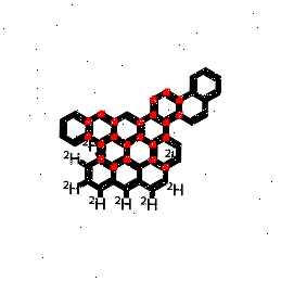 [2H]c1c([2H])c([2H])c2c(-c3c(-c4ccccc4-c4cccc5c4ccc4ccccc45)c(-c4ccccc4)cc4ccccc34)c3c(-c4ccccc4-c4cccc5c4ccc4ccccc45)c([2H])c([2H])c([2H])c3c([2H])c2c1[2H]